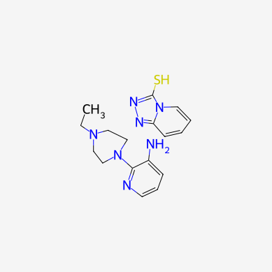 CCN1CCN(c2ncccc2N)CC1.Sc1nnc2ccccn12